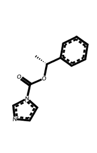 C[C@@H](OC(=O)n1ccnc1)c1ccccc1